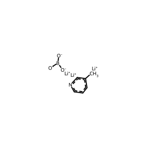 Cc1cccnc1.[Li+].[Li+].[Li+].[O-]B([O-])[O-]